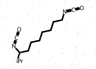 CC(C)C(CCCCCCCN=C=O)N=C=O